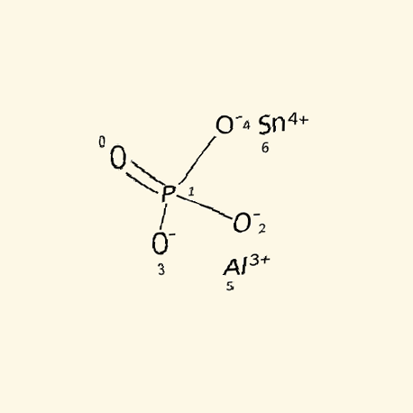 O=P([O-])([O-])[O-].[Al+3].[Sn+4]